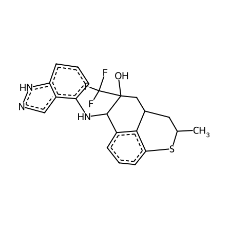 CC1CC2CC(O)(C(F)(F)F)C(Nc3cccc4[nH]ncc34)c3cccc(c32)S1